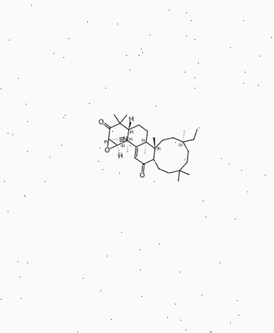 CC[C@@]1(C)CCC(C)(C)CCC2C(=O)C=C3[C@@]4(C)[C@H]5O[C@@]5(C#N)C(=O)C(C)(C)[C@@H]4CC[C@@]3(C)[C@]2(C)CC1